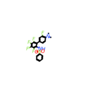 CN(C)c1ccc(-c2c(F)c(F)c(F)c(F)c2NS(=O)(=O)c2ccccc2)cc1F